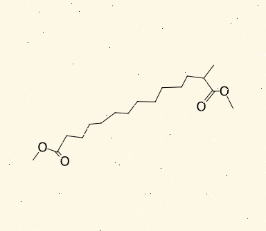 COC(=O)CCCCCCCCCCCC(C)C(=O)OC